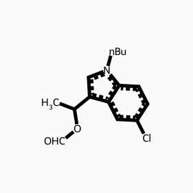 CCCCn1cc(C(C)OC=O)c2cc(Cl)ccc21